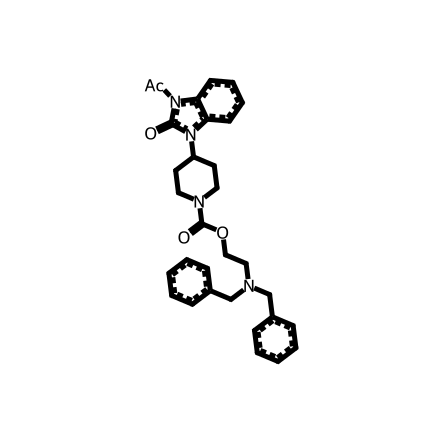 CC(=O)n1c(=O)n(C2CCN(C(=O)OCCN(Cc3ccccc3)Cc3ccccc3)CC2)c2ccccc21